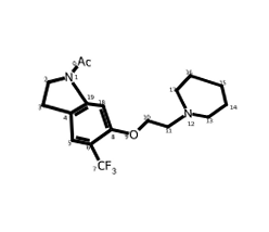 CC(=O)N1CCc2cc(C(F)(F)F)c(OCCN3CCCCC3)cc21